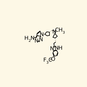 CN(C[C@@H]1CC[C@H](n2ccc3c(N)ncnc32)C1)[C@H]1C[C@@H](CCc2nc3cc(OC(F)(F)F)ccc3[nH]2)C1